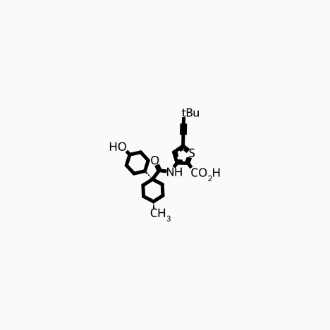 CC(C)(C)C#Cc1cc(NC(=O)[C@]2(C3CCC(O)CC3)CC[C@@H](C)CC2)c(C(=O)O)s1